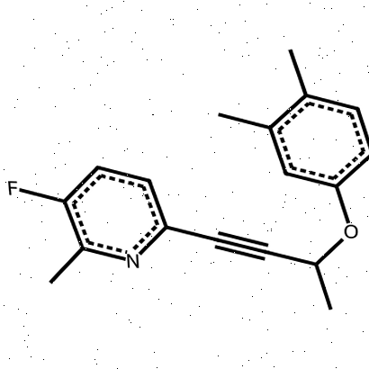 Cc1ccc(OC(C)C#Cc2ccc(F)c(C)n2)cc1C